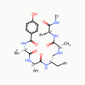 CCC[C@H](NC(=O)[C@@H](NC(=O)c1ccc(O)cc1)[C@@H](C)CC)C(=O)N[C@H](CN[C@@H](C)C(=O)N[C@H](C(=O)NCC)C(C)C)CC(C)C